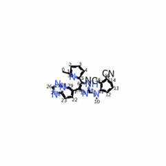 Cc1cccc(-c2[nH]c(N(C)c3cccc(C#N)c3C#N)nc2-c2ccc3ncnn3c2)n1